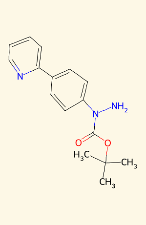 CC(C)(C)OC(=O)N(N)c1ccc(-c2ccccn2)cc1